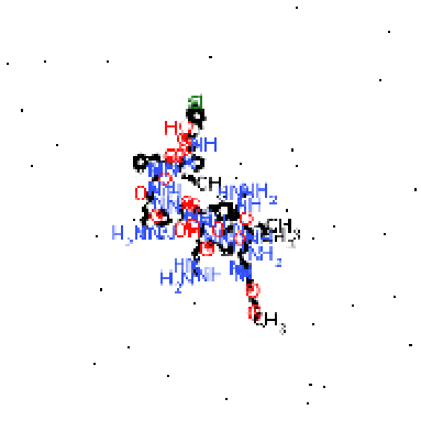 CCCC[C@H](NC(=O)[C@@H]1CC2CCCCC2N1C(=O)CNC(=O)[C@H](CCCCN)NC(=O)[C@H](Cc1c[nH]cn1)NC(=O)[C@H](CO)NC(=O)[C@H](CC1CCCCC1)NC(=O)[C@H](CCCCNC(=N)N)NC(=O)[C@H]1CCCN1C(=O)[C@H](CCCNC(=N)N)NC(=O)[C@H](CC(C)C)NC(=O)[C@@H](N)Cc1cn(CCOCCOC)nn1)C(=O)N1CCC[C@H]1C(=O)N[C@@H](Cc1ccc(Cl)cc1)C(=O)O